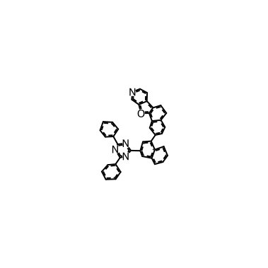 c1ccc(-c2nc(-c3ccccc3)nc(-c3cc(-c4ccc5ccc6c7ccncc7oc6c5c4)c4ccccc4c3)n2)cc1